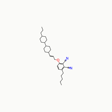 CCCCCc1ccc(OC/C=C/C2CCC(C3CCC(CCC)CC3)CC2)c(C#N)c1C#N